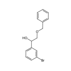 OC(COCc1ccccc1)c1cccc(Br)c1